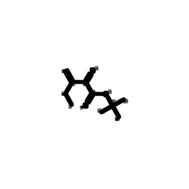 C=C(CC)C(=O)C(=O)OC(C)(C)C